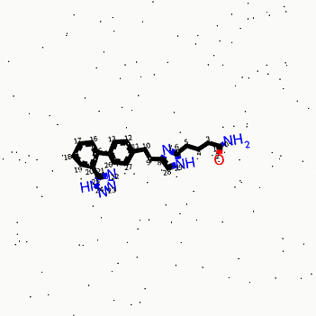 NC(=O)CCCc1nc([CH]Cc2ccc(-c3ccccc3-c3nnn[nH]3)cc2)c[nH]1